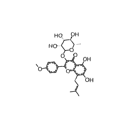 COc1ccc(-c2oc3c(CC=C(C)C)c(O)cc(O)c3c(=O)c2OC2O[C@@H](C)[C@H](O)[C@@H](O)[C@H]2O)cc1